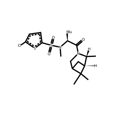 C[C@@H]1[C@@H]2CC(CN1C(=O)[C@@H](N(C)S(=O)(=O)c1ccc(Cl)s1)C(C)(C)C)C2(C)C